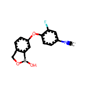 [C-]#[N+]c1ccc(Oc2ccc3c(c2)B(O)OC3)c(F)c1